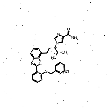 C[C@H](O)[C@@H](CCc1cccc2nc(-c3ccccc3SCc3ccccc3)oc12)n1cnc(C(N)=O)c1.Cl